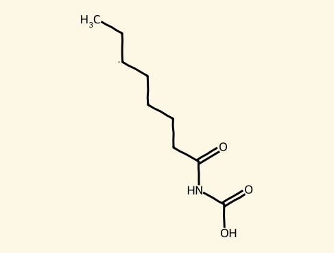 CC[CH]CCCCC(=O)NC(=O)O